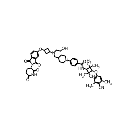 Cc1cc(OC2C(C)(C)C(NC(=O)c3ccc(N4CCC(CN(CCO)C5CC(Oc6ccc7c(c6)C(=O)N([C@@H]6CCC(=O)NC6=O)C7=O)C5)CC4)cc3)C2(C)C)cc(C)c1C#N